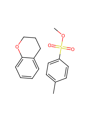 COS(=O)(=O)c1ccc(C)cc1.c1ccc2c(c1)CCCO2